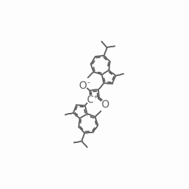 Cc1cc(-c2c([O-])[c+](-c3cc(C)c4cc(C(C)C)ccc(C)c3-4)c2=O)c2c(C)ccc(C(C)C)cc1-2